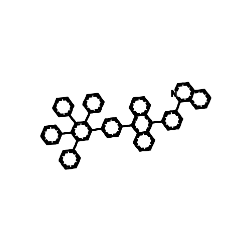 c1ccc(-c2cc(-c3ccc(-c4c5ccccc5c(-c5cccc(-c6nccc7ccccc67)c5)c5ccccc45)cc3)c(-c3ccccc3)c(-c3ccccc3)c2-c2ccccc2)cc1